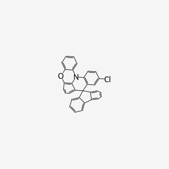 Clc1ccc2c(c1)C1(c3ccccc3-c3ccccc31)c1cccc3c1N2c1ccccc1O3